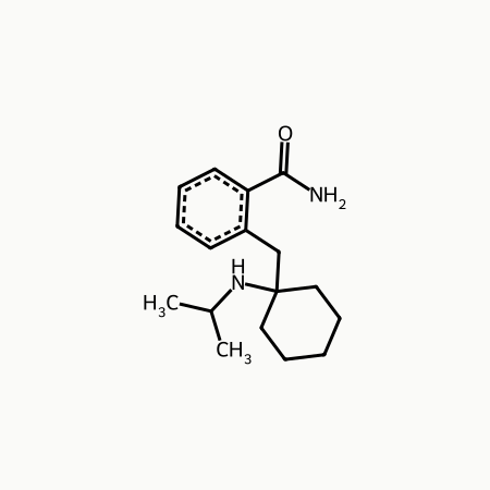 CC(C)NC1(Cc2ccccc2C(N)=O)CCCCC1